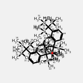 C[Si](C)(C)C(c1cccc(C([Si](C)(C)C)([Si](C)(C)C)[Si](C)(C)C)c1S[CH]([BiH2])Sc1c(C([Si](C)(C)C)([Si](C)(C)C)[Si](C)(C)C)cccc1C([Si](C)(C)C)([Si](C)(C)C)[Si](C)(C)C)([Si](C)(C)C)[Si](C)(C)C